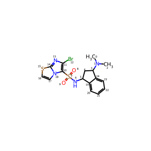 CN(C)C1CC(NS(=O)(=O)c2c(Br)nc3sccn23)c2ccccc21